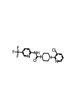 O=C(Nc1ccc(C(F)(F)F)cn1)N1CCN(c2ncccc2Cl)CC1